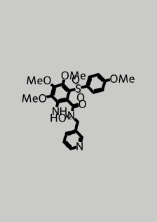 COc1ccc(S(=O)(=O)c2c(OC)c(OC)c(OC)c(N)c2C(=O)N(O)Cc2cccnc2)cc1